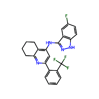 Fc1ccc2[nH]nc(Nc3cc(-c4ccccc4C(F)(F)F)nc4c3CCCC4)c2c1